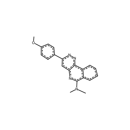 COc1ccc(-c2cc3nc(N(C)C)c4ccccc4c3nn2)cc1